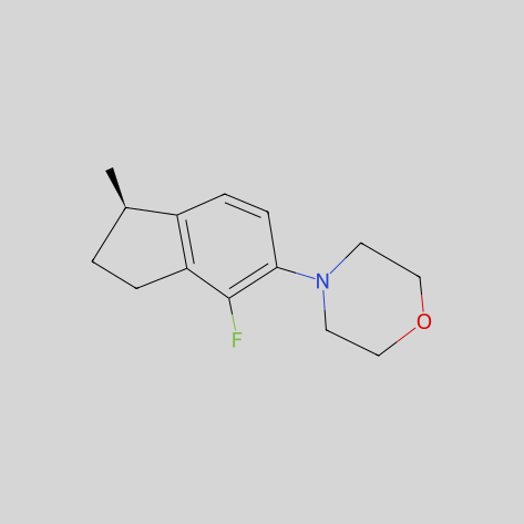 C[C@@H]1CCc2c1ccc(N1CCOCC1)c2F